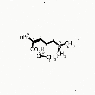 CCCC(=CCCN(C)C)C(=O)O.CCl